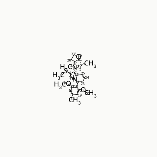 CCC[N+](C)(c1c(SC)nn2c(-c3c(OC)cc(C)cc3OC)cccc12)C1CCOC1